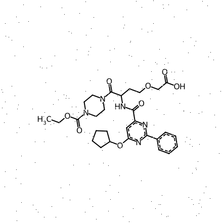 CCOC(=O)N1CCN(C(=O)C(CCOCC(=O)O)NC(=O)c2cc(OC3CCCC3)nc(-c3ccccc3)n2)CC1